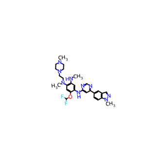 CNc1cc(Nc2cc(-c3ccc4c(cnn4C)c3)ncn2)c(OC(F)F)cc1N(C)CCN1CCN(C)CC1